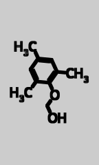 Cc1cc(C)c(OCO)c(C)c1